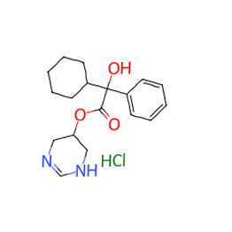 Cl.O=C(OC1CN=CNC1)C(O)(c1ccccc1)C1CCCCC1